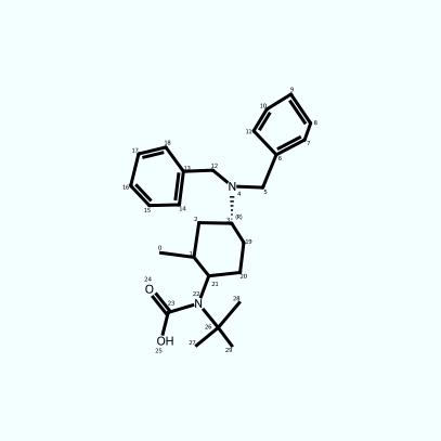 CC1C[C@H](N(Cc2ccccc2)Cc2ccccc2)CCC1N(C(=O)O)C(C)(C)C